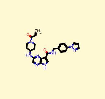 C=CC(=O)N1CCC(Nc2cnc3[nH]cc(C(=O)NCc4ccc(-n5cccn5)cc4)c3n2)CC1